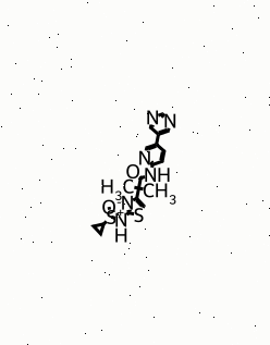 CC(C)(C(=O)Nc1ccc(-c2cncnc2)cn1)c1csc(N[S+]([O-])C2CC2)n1